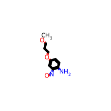 COCCCOc1ccc(N)c(N=O)c1